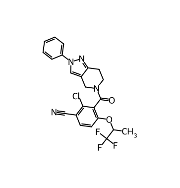 CC(Oc1ccc(C#N)c(Cl)c1C(=O)N1CCc2nn(-c3ccccc3)cc2C1)C(F)(F)F